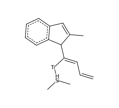 C=CC=[C]([Ti][SiH](C)C)C1C(C)=Cc2ccccc21